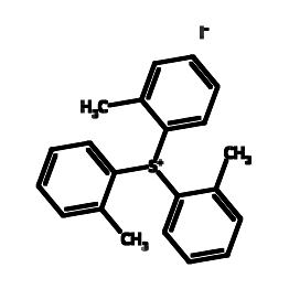 Cc1ccccc1[S+](c1ccccc1C)c1ccccc1C.[I-]